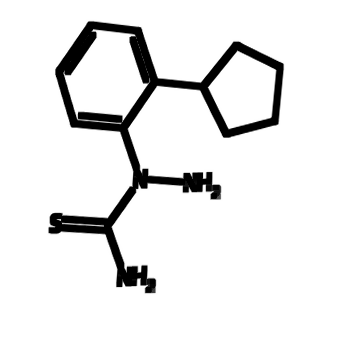 NC(=S)N(N)c1ccccc1C1CCCC1